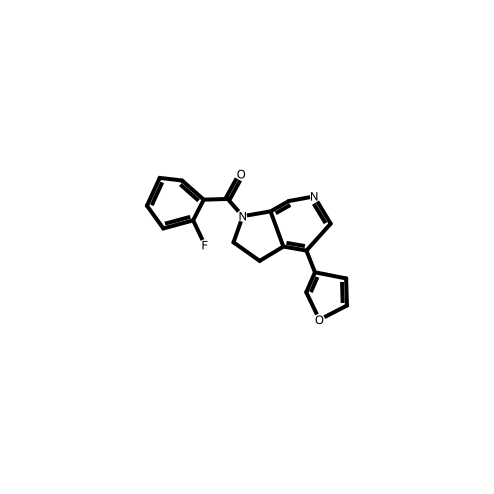 O=C(c1ccccc1F)N1CCc2c(-c3ccoc3)cncc21